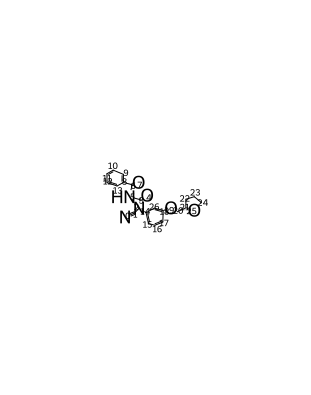 N#CN(C(=O)NC(=O)c1ccccc1)c1cccc(OCC2CCCO2)c1